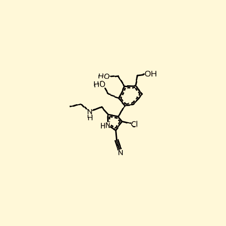 CCNCc1[nH]c(C#N)c(Cl)c1-c1ccc(CO)c(CO)c1CO